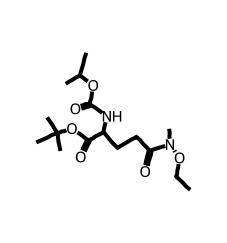 CCON(C)C(=O)CCC(NC(=O)OC(C)C)C(=O)OC(C)(C)C